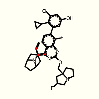 C=CC(=O)N1C2CCC1CC(C)(c1nc(OCC34CCCN3CC(F)C4)nc3c(F)c(-c4cc(O)cc(Cl)c4C4CC4)ccc13)C2